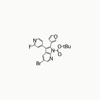 CC(C)(C)OC(=O)n1c(-c2ccoc2)c(-c2ccnc(F)c2)c2cc(Br)cnc21